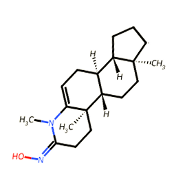 CN1C2=CC[C@H]3[C@@H]4CC[CH][C@@]4(C)CC[C@@H]3[C@@]2(C)CCC1=NO